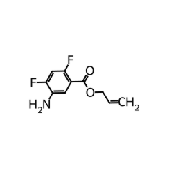 C=CCOC(=O)c1cc(N)c(F)cc1F